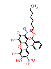 CCCCCCCCOC(=O)c1ccccc1-c1c2cc([N+](=O)[O-])c(=O)c(Br)c-2oc2c(Br)c(O)c([N+](=O)[O-])cc12